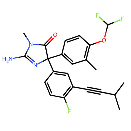 Cc1cc(C2(c3ccc(F)c(C#CC(C)C)c3)N=C(N)N(C)C2=O)ccc1OC(F)F